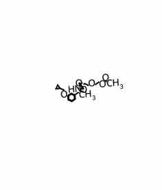 CC(=O)OCCOCCS(=O)(=O)N[C@H](C)c1cccc(OCC2CC2)c1